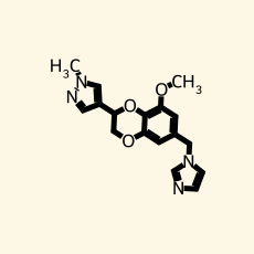 COc1cc(Cn2ccnc2)cc2c1OC(c1cnn(C)c1)CO2